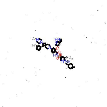 CC(=O)N1CCN(C2CC3(CCN(c4ccc(C(=O)NS(=O)(=O)c5cnc(NCC6CCC(C)(C)CC6)c([N+](=O)[O-])c5)c(Oc5cnc6[nH]ccc6c5)c4)CC3)C2)[C@H](c2ccccc2C(C)C)C1